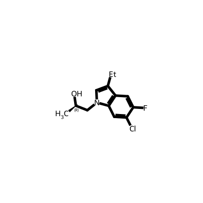 CCc1cn(C[C@@H](C)O)c2cc(Cl)c(F)cc12